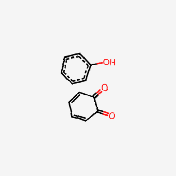 O=C1C=CC=CC1=O.Oc1ccccc1